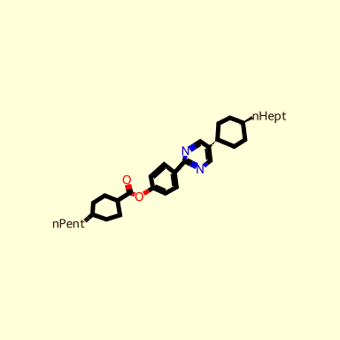 CCCCCCC[C@H]1CC[C@H](c2cnc(-c3ccc(OC(=O)C4CCC(CCCCC)CC4)cc3)nc2)CC1